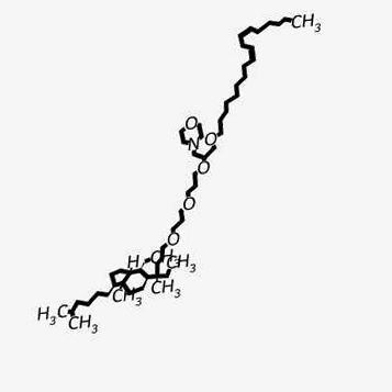 CCCCC/C=C\C/C=C\CCCCCCCCOCC(CN1CCOCC1)OCCCOCCCOCCC[C@@](C)(CC)[C@H]1CC[C@]2(C)[C@@H](CCCCC(C)C)CC[C@H]2[C@@H]1CC